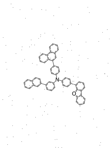 c1cc(-c2ccc3ccccc3c2)cc(N(c2ccc(-c3cc4ccccc4c4ccccc34)cc2)c2ccc(-c3cccc4c3oc3ccccc34)cc2)c1